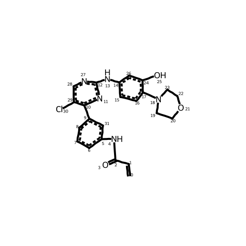 C=CC(=O)Nc1cccc(-c2nc(Nc3ccc(N4CCOCC4)c(O)c3)ncc2Cl)c1